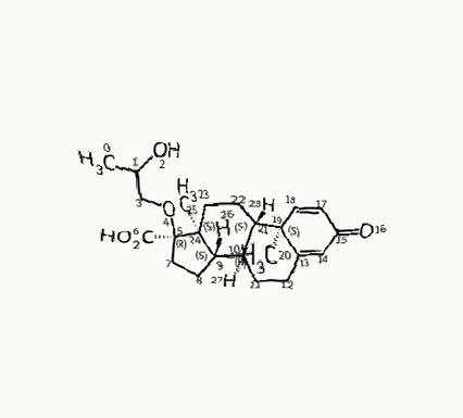 CC(O)CO[C@]1(C(=O)O)CC[C@H]2[C@@H]3CCC4=CC(=O)C=C[C@]4(C)[C@H]3CC[C@@]21C